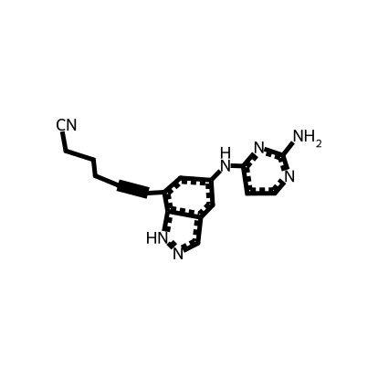 N#CCCCC#Cc1cc(Nc2ccnc(N)n2)cc2cn[nH]c12